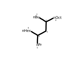 CCCCCCCCC(CCCC)CC(CCC)CCCCCC